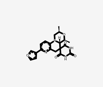 C[C@@H]1CN2c3ccc(-c4ccoc4)nc3CC3(C(=O)NC(=O)NC3=O)[C@H]2[C@H](C)O1